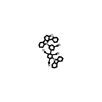 N#Cc1cc(-c2c(C#N)cc(C#N)c(-n3c4ccccc4c4ccccc43)c2C#N)cc(-n2c3ccccc3c3ccc4oc5ccccc5c4c32)c1